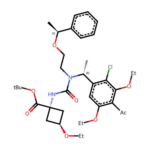 CCOc1cc([C@@H](C)N(CCO[C@@H](C)c2ccccc2)C(=O)N[C@]2(C(=O)OC(C)(C)C)C[C@@H](OCC)C2)c(Cl)c(OCC)c1C(C)=O